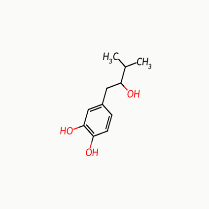 CC(C)C(O)Cc1ccc(O)c(O)c1